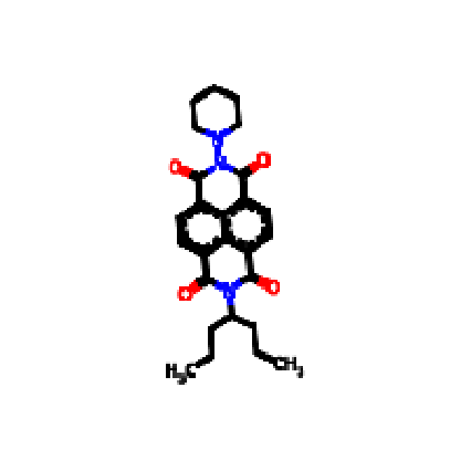 CCCC(CCC)N1C(=O)c2ccc3c4c(ccc(c24)C1=O)C(=O)N(N1CCCCC1)C3=O